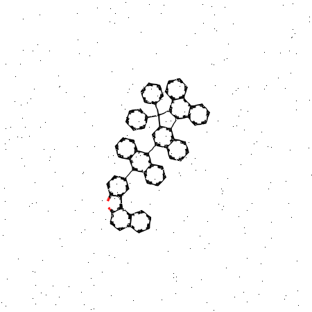 c1ccc(C2(c3ccccc3)c3cc(-c4c5ccccc5c(-c5ccc6oc7ccc8ccccc8c7c6c5)c5ccccc45)c4ccccc4c3-c3c2c2ccccc2c2ccccc32)cc1